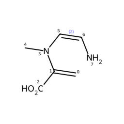 C=C(C(=O)O)N(C)/C=C\N